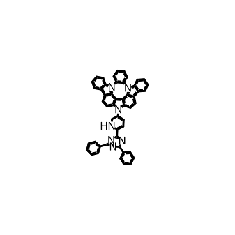 C1=C(C2=NC(c3ccccc3)N3C(c4ccccc4)N23)NCC(n2c3ccc4c5ccccc5n5c6ccccc6n6c7ccccc7c7ccc2c(c3c45)c76)=C1